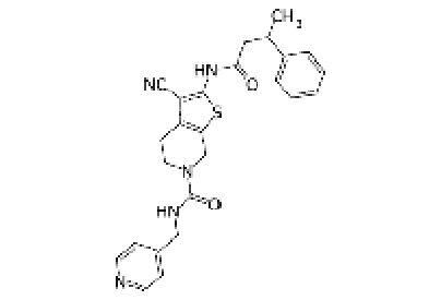 CC(CC(=O)Nc1sc2c(c1C#N)CCN(C(=O)NCc1ccncc1)C2)c1ccccc1